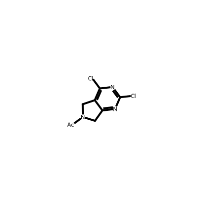 CC(=O)N1Cc2nc(Cl)nc(Cl)c2C1